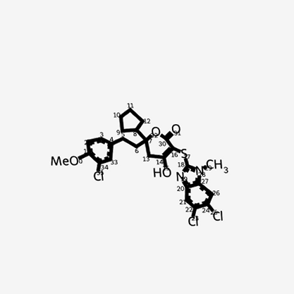 COc1ccc(CCC2(C3CCCC3)CC(O)=C(Sc3nc4cc(Cl)c(Cl)cc4n3C)C(=O)O2)cc1Cl